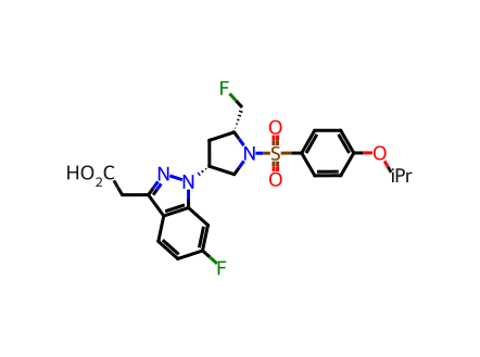 CC(C)Oc1ccc(S(=O)(=O)N2C[C@H](n3nc(CC(=O)O)c4ccc(F)cc43)C[C@@H]2CF)cc1